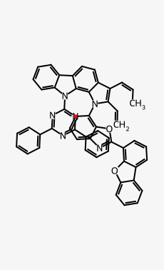 C=Cc1c(/C=C\C)c2ccc3c4ccccc4n(-c4nc(-c5ccccc5)nc(-c5ccccc5)n4)c3c2n1-c1cccc2nc(-c3cccc4c3oc3ccccc34)oc12